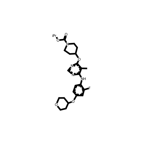 Cc1c(Nc2ccc(OC3CCOCC3)cc2F)ncnc1OC1CCN(C(=O)OC(C)C)CC1